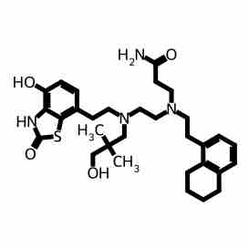 CC(C)(CO)CN(CCc1ccc(O)c2[nH]c(=O)sc12)CCN(CCC(N)=O)CCc1cccc2c1CCCC2